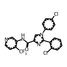 O=C(Nc1cnccc1C(F)(F)F)c1cn(-c2ccc(Cl)cc2)c(-c2ccccc2Cl)n1